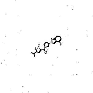 CC(C)c1cc(C(=O)N2CC[C@@H](n3cc4c(F)cccc4n3)C2)[nH]n1